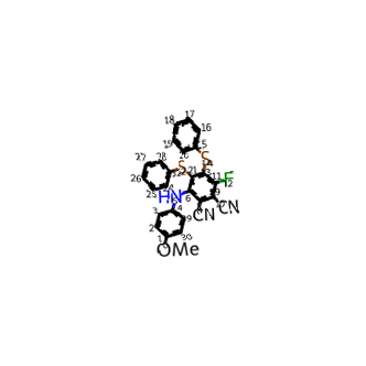 COc1ccc(Nc2c(C#N)c(C#N)c(F)c(Sc3ccccc3)c2Sc2ccccc2)cc1